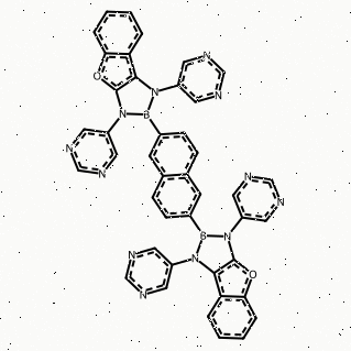 c1ccc2c3c(oc2c1)N(c1cncnc1)B(c1ccc2cc(B4N(c5cncnc5)c5oc6ccccc6c5N4c4cncnc4)ccc2c1)N3c1cncnc1